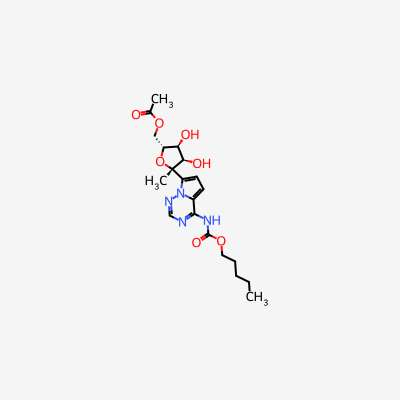 CCCCCOC(=O)Nc1ncnn2c([C@]3(C)O[C@H](COC(C)=O)[C@@H](O)[C@H]3O)ccc12